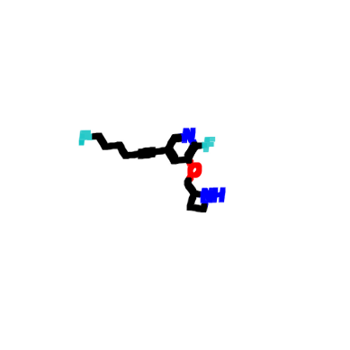 FCCCCC#Cc1cnc(F)c(OCC2CCN2)c1